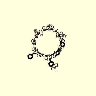 CCC(C)[C@@H]1NC(=O)[C@H](CC(C)C)N(C)C(=O)C[C@@H](C)NC(=O)[C@H](C(C)C)N(C)C(=O)C2(CCCC2)NC(=O)[C@@H]2CCCN2C(=O)[C@H](CCc2ccc(C(F)(F)F)c(Cl)c2)NC(=O)CN(C)C(=O)[C@H](CCc2ccccc2)N(C)C(=O)CN(C)C(=O)CN(C)C1=O